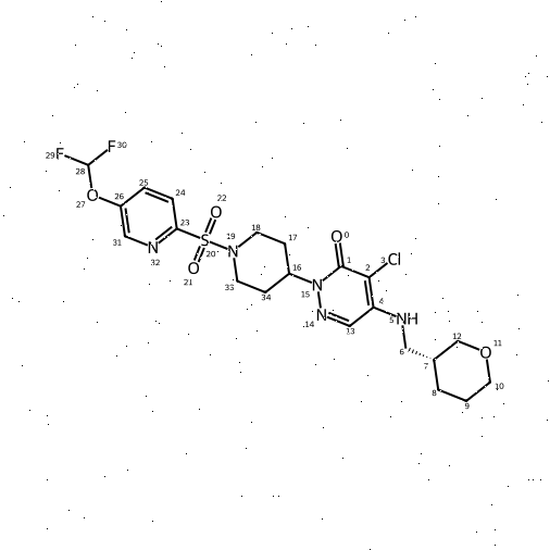 O=c1c(Cl)c(NC[C@H]2CCCOC2)cnn1C1CCN(S(=O)(=O)c2ccc(OC(F)F)cn2)CC1